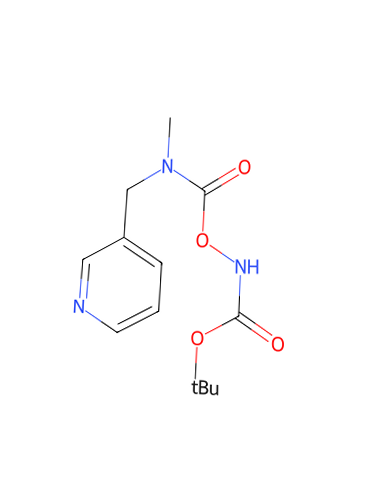 CN(Cc1cccnc1)C(=O)ONC(=O)OC(C)(C)C